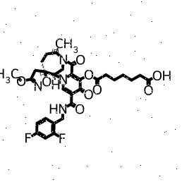 COC1=NO[C@@]2(CC[C@H](C)N3C[C@H]2n2cc(C(=O)NCc4ccc(F)cc4F)c(=O)c(OC(=O)CCCCCC(=O)O)c2C3=O)C1